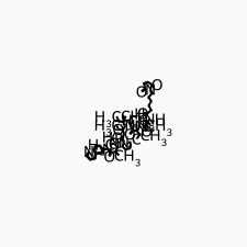 CCC(C)C(C(CC(=O)N1CCC[C@H]1C(OC)C(C)C(=O)Nc1ccc2ncccc2c1)OC)N(C)C(=O)C(NC(=O)C(C)(C)NC(=O)CCCCCN1C(=O)C=CC1=O)C(C)C